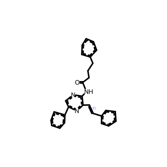 O=C(CCCc1ccccc1)Nc1ncc(-c2ccccc2)nc1/C=C/c1ccccc1